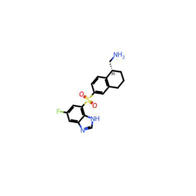 NC[C@@H]1CCCc2cc(S(=O)(=O)c3cc(F)cc4nc[nH]c34)ccc21